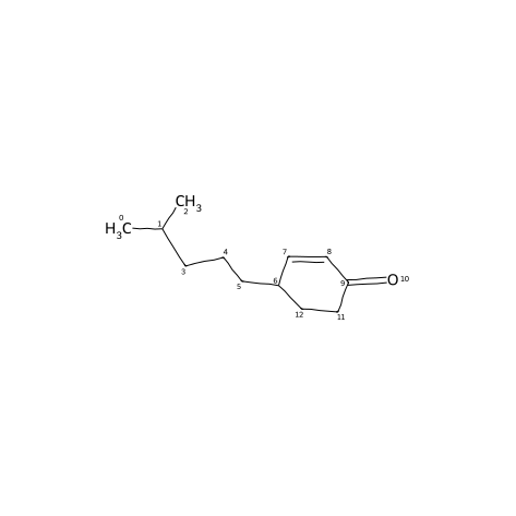 CC(C)CCCC1C=CC(=O)CC1